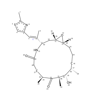 C/C(=C\c1csc(C)n1)[C@@H]1C[C@@H]2O[C@@H]2CCC[C@H](C)[C@H](O)[C@@H](C)C(=O)[C@@H](C)CCC(=O)N1